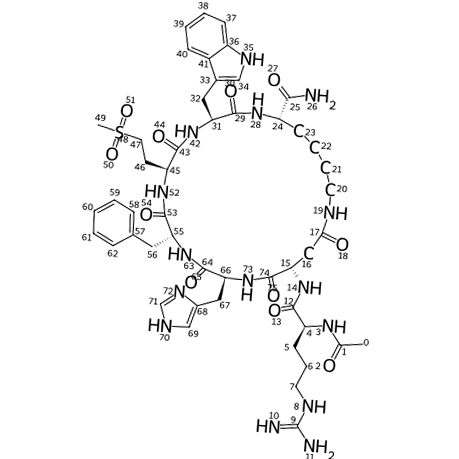 CC(=O)N[C@@H](CCCNC(=N)N)C(=O)N[C@H]1CC(=O)NCCCC[C@@H](C(N)=O)NC(=O)[C@H](Cc2c[nH]c3ccccc23)NC(=O)[C@H](CCS(C)(=O)=O)NC(=O)[C@@H](Cc2ccccc2)NC(=O)[C@H](Cc2c[nH]cn2)NC1=O